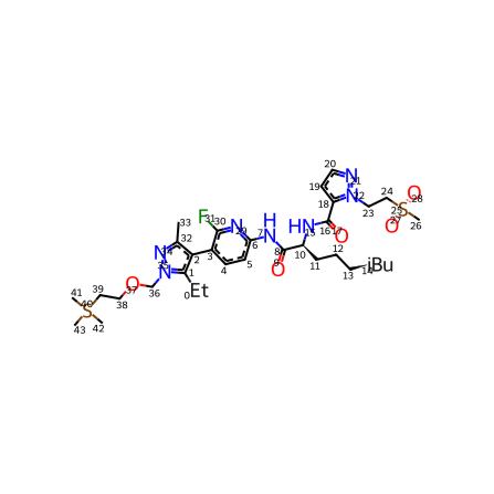 CCc1c(-c2ccc(NC(=O)[C@H](CCC[C@H](C)CC)NC(=O)c3ccnn3CCS(C)(=O)=O)nc2F)c(C)nn1COCCS(C)(C)C